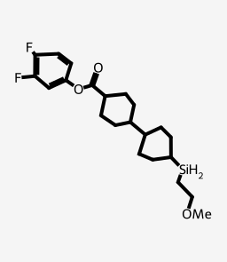 COCC[SiH2]C1CCC(C2CCC(C(=O)Oc3ccc(F)c(F)c3)CC2)CC1